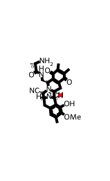 COc1c(C)cc2c(c1O)[C@@H]1[C@@H]3CC4=C(C(=O)C(C)=C(C)C4=O)[C@H](CNC(=O)[C@H](C)N)N3[C@@H](C#N)[C@@H](C2)N1C